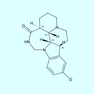 O=C1NCN2c3ccc(Cl)cc3[C@H]3CCN4CCC[C@H]1[C@H]4[C@H]32